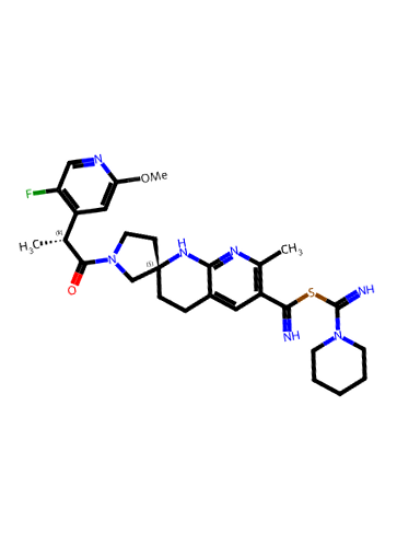 COc1cc([C@@H](C)C(=O)N2CC[C@@]3(CCc4cc(C(=N)SC(=N)N5CCCCC5)c(C)nc4N3)C2)c(F)cn1